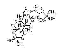 CC[C@@](C)(O)CC[C@@H](C)[C@H]1CC[C@H]2[C@@H]3CC[C@H]4C[C@@](C)(O)CC[C@]4(C)[C@H]3CC[C@]12C